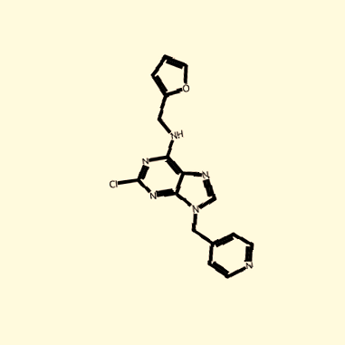 Clc1nc(NCc2ccco2)c2ncn(Cc3ccncc3)c2n1